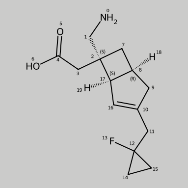 NC[C@]1(CC(=O)O)C[C@H]2CC(CC3(F)CC3)=C[C@H]21